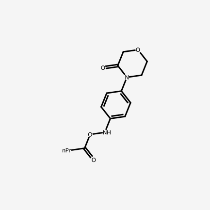 CCCC(=O)ONc1ccc(N2CCOCC2=O)cc1